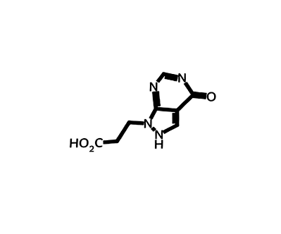 O=C(O)CCn1[nH]cc2c(=O)ncnc1-2